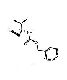 CC(C)[C@@H]([C]=O)NC(=O)OCc1cccnc1